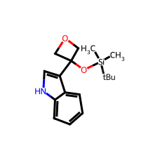 CC(C)(C)[Si](C)(C)OC1(c2c[nH]c3ccccc23)COC1